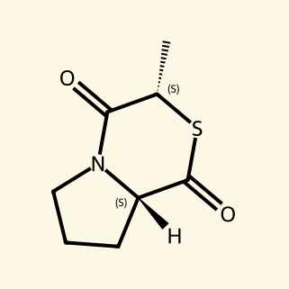 C[C@@H]1SC(=O)[C@@H]2CCCN2C1=O